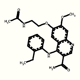 CCc1ccccc1Nc1c(C(N)=O)cnc2cc(OC)c(OCCNC(C)=O)cc12